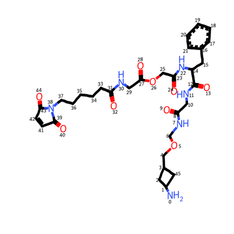 NC1CC(COCNC(=O)CNC(=O)C(Cc2ccccc2)NC(=O)COC(=O)CNC(=O)CCCCCN2C(=O)C=CC2=O)C1